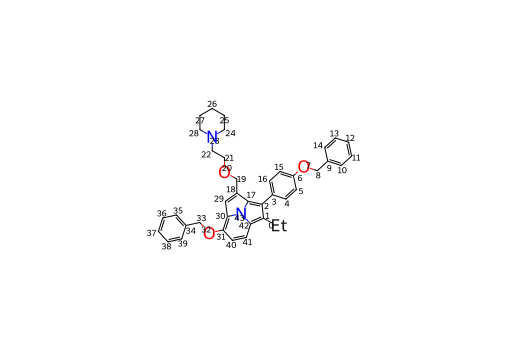 CCc1c(-c2ccc(OCc3ccccc3)cc2)c2c(COCCN3CCCCC3)cc3c(OCc4ccccc4)ccc1n32